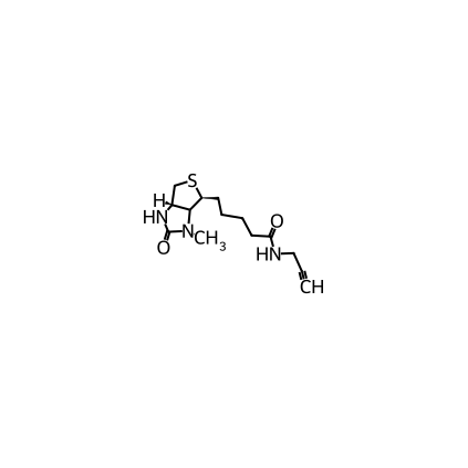 C#CCNC(=O)CCCC[C@@H]1SC[C@H]2NC(=O)N(C)C12